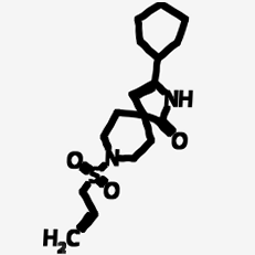 C=CCS(=O)(=O)N1CCC2(C=C(C3CCCCC3)NC2=O)CC1